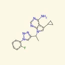 CC(c1cn(-c2ccccc2F)nn1)n1cc(C2CC2)c2c(N)ncnc21